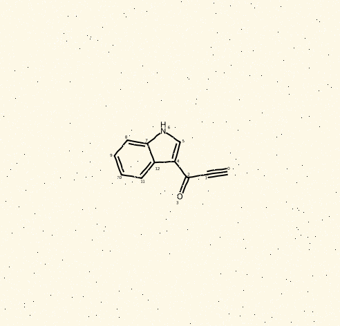 C#CC(=O)c1c[nH]c2ccccc12